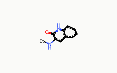 CCNc1cc2ccccc2[nH]c1=O